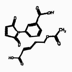 CC(=O)OCCC=CC(=O)O.O=C(O)c1cccc(N2C(=O)C=CC2=O)c1